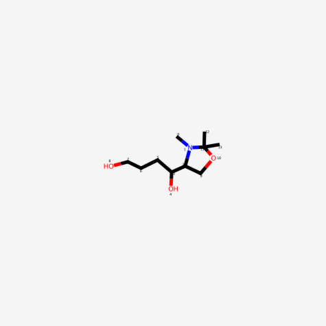 CN1C(C(O)CCCO)COC1(C)C